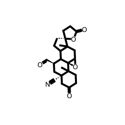 CC12CC3O[C@@]34C(C1CC[C@@]21CCC(=O)O1)[C@H](C=O)C[C@]1(C#N)CC(=O)CCC14C